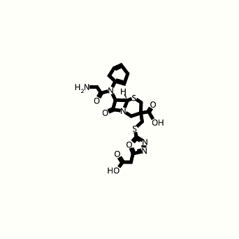 NCC(=O)N(C1=CCC=CC1)C1C(=O)N2CC(CSc3nnc(CC(=O)O)o3)(C(=O)O)CS[C@H]12